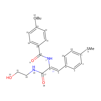 CSc1ccc(/C=C(\NC(=O)c2ccc(OCC(C)C)cc2)C(=O)NCCO)cc1